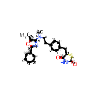 CC(=O)N(CCc1ccc(CC2SC(=O)NC2=O)cc1)c1nc(-c2ccccc2)oc1C